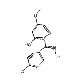 COc1ccc(C(=NO)c2ccc(Cl)cc2)c(O)c1